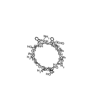 CCCC[C@H]1C(=O)N(C)[C@@H](CCCC)C(=O)NC(CC(C)C)C(=O)N[C@H](C(N)=O)CNCC(=O)N[C@@H](Cc2ccc(O)cc2)C(=O)N(C)[C@@H](C)C(=O)N[C@@H](CC(N)=O)C(=O)N2CCC[C@H]2C(=O)N[C@@H](CN)C(=O)N[C@@H](CC(C)C)C(=O)N2C[C@H](O)C[C@H]2C(=O)N[C@@H](Cc2c[nH]c3ccccc23)C(=O)N[C@@H](CCCCN)C(=O)N[C@@H](Cc2cn(COC=O)c3ccccc23)C(=O)N1C